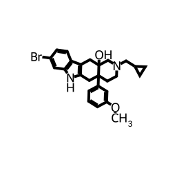 COc1cccc(C23CCN(CC4CC4)CC2(O)Cc2c([nH]c4cc(Br)ccc24)C3)c1